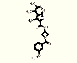 COc1cccc(C(=O)N2CC(NC(=O)c3sc4nnc(C)c(C)c4c3N)C2)c1